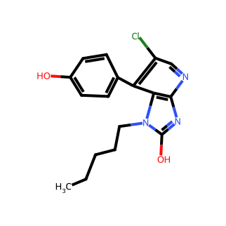 CCCCCn1c(O)nc2ncc(Cl)c(-c3ccc(O)cc3)c21